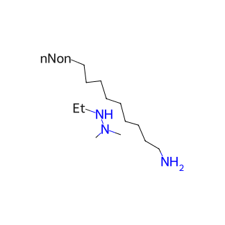 CCCCCCCCCCCCCCCCCCN.CCNN(C)C